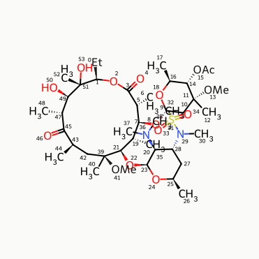 CC[C@H]1OC(=O)[C@H](C)[C@@H](O[C@H]2C[C@@](C)(OC)[C@@H](OC(C)=O)[C@H](C)O2)[C@H](C)[C@@H](O[C@@H]2O[C@H](C)C[C@@H](N(C)S(C)(=O)=O)[C@@H]2N(C)C)[C@@](C)(OC)C[C@@H](C)C(=O)[C@H](C)[C@@H](O)[C@]1(C)O